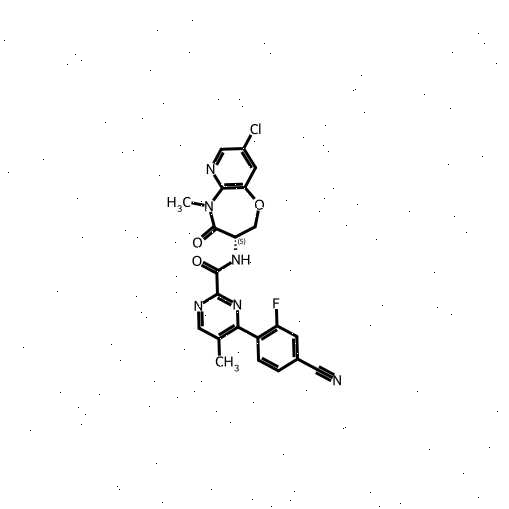 Cc1cnc(C(=O)N[C@H]2COc3cc(Cl)cnc3N(C)C2=O)nc1-c1ccc(C#N)cc1F